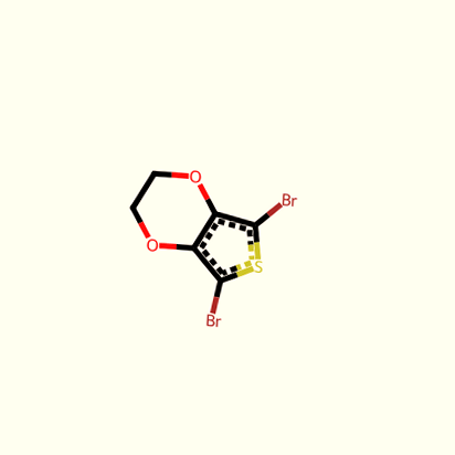 Brc1sc(Br)c2c1OCCO2